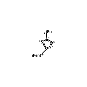 CCCC(C)c1ncc(C(C)(C)C)s1